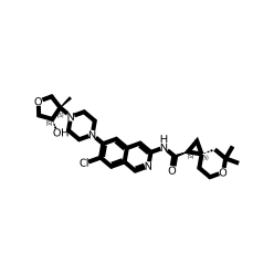 CC1(C)C[C@@]2(CCO1)C[C@@H]2C(=O)Nc1cc2cc(N3CCN([C@@]4(C)COC[C@H]4O)CC3)c(Cl)cc2cn1